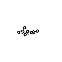 c1ccc(-c2nc(-c3ccccc3)nc(-c3cccc4oc5c(-c6ccc7oc(-c8ccccc8)nc7c6)cccc5c34)n2)cc1